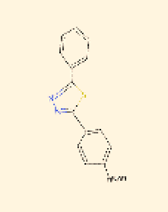 CCCCCCCCCc1ccc(-c2nnc(-c3ccccc3)s2)cc1